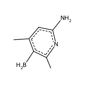 Bc1c(C)cc(N)nc1C